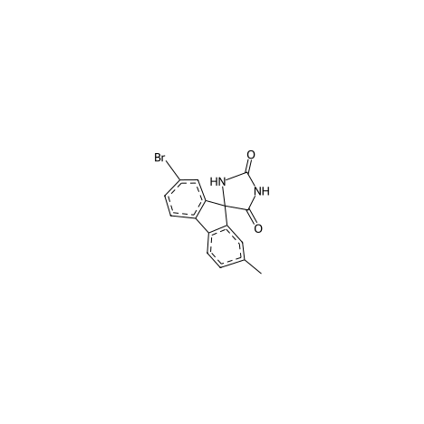 Cc1ccc2c(c1)C1(NC(=O)NC1=O)c1cc(Br)ccc1-2